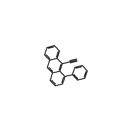 C#Cc1c2ccccc2cc2cccc(-c3ccccc3)c12